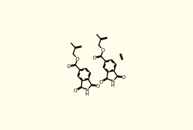 C=C.C=C(C)COC(=O)c1ccc2c(c1)C(=O)NC2=O.C=C(C)COC(=O)c1ccc2c(c1)C(=O)NC2=O